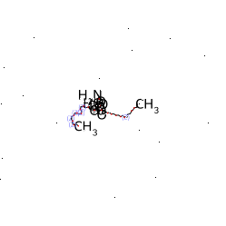 CC/C=C\C/C=C\C/C=C\C/C=C\C/C=C\CCCC(=O)O[C@H](COC(=O)CCCCCCCCC/C=C\CCCCCCCC)COP(=O)(O)OCCN